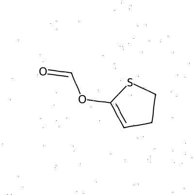 O=COC1=CCCS1